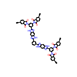 C#Cc1ccc2c(c1)C(=O)N(c1cc(-c3nc4cc5[nH]c(-c6cccc(-c7nc8cc9[nH]c(-c%10cc(N%11C(=O)c%12ccc(C#C)cc%12C%11=O)cc(N%11C(=O)c%12ccc(C#C)cc%12C%11=O)c%10)nc9cc8[nH]7)c6)nc5cc4[nH]3)cc(N3C(=O)c4ccc(C#C)cc4C3=O)c1)C2=O